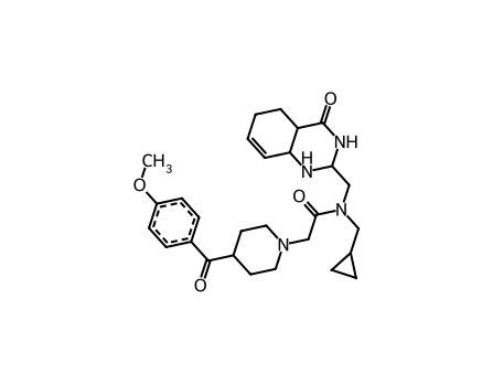 COc1ccc(C(=O)C2CCN(CC(=O)N(CC3CC3)CC3NC(=O)C4CCC=CC4N3)CC2)cc1